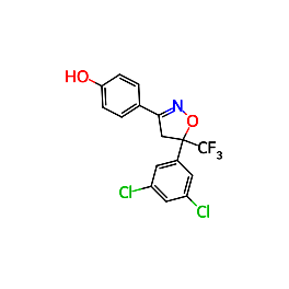 Oc1ccc(C2=NOC(c3cc(Cl)cc(Cl)c3)(C(F)(F)F)C2)cc1